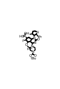 Cc1ccnc(C(C)C)c1-n1c(=O)nc2c3c(c(F)c(B(O)O)cc31)OC[C@H]1CN(C(=O)OC(C)(C)C)CCN21